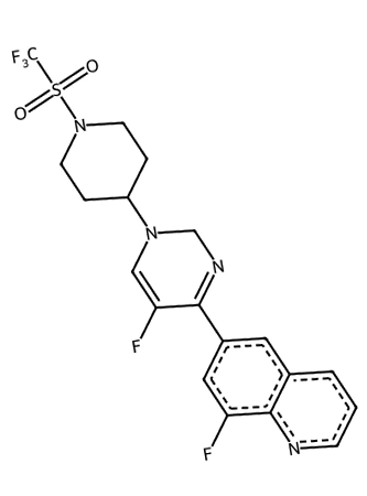 O=S(=O)(N1CCC(N2C=C(F)C(c3cc(F)c4ncccc4c3)=NC2)CC1)C(F)(F)F